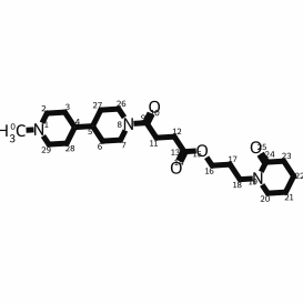 CN1CCC(C2CCN(C(=O)CCC(=O)OCCCN3CCCCC3=O)CC2)CC1